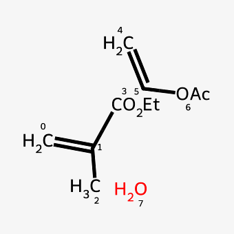 C=C(C)C(=O)OCC.C=COC(C)=O.O